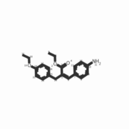 CCOC(=O)C(=Cc1ccc(N)cc1)Cc1ccc(OCC)cc1